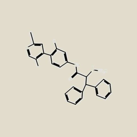 Cc1cc(-c2ccc(NC(=O)C(NC(=O)O)C(c3ccccc3)c3ccccc3)cc2F)c(C)cn1